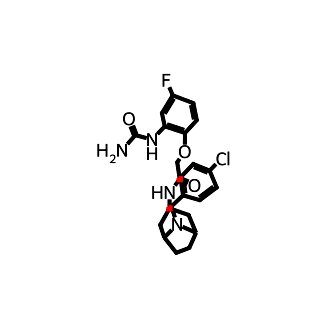 NC(=O)Nc1cc(F)ccc1OCC(=O)NC1CC2CCC(C1)N2Cc1ccc(Cl)cc1